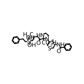 CC(CC(=O)C1(C(=O)O)NCCN1C1CSC[C@H](NC(=O)c2ccccc2)S1)C[Si](O)(O)CCc1ccccc1